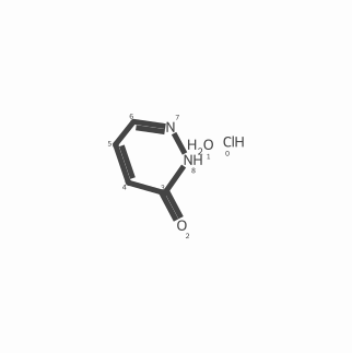 Cl.O.O=c1cccn[nH]1